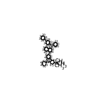 CC(C)(C)c1ccc2c(c1)c1cc(-c3ccc(N(c4ccccc4)c4ccc(-c5ccccc5)cc4)c4ccccc34)ccc1n2C1=CC=CCC1